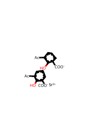 CC(=O)c1cccc(C(=O)[O-])c1O.CC(=O)c1cccc(C(=O)[O-])c1O.[Sr+2]